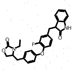 CCN1C(=O)OCC1Cc1ccc(Oc2ccc(CC3C(=O)Nc4ccccc43)cc2F)cc1